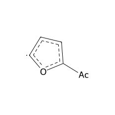 CC(=O)c1cc[c]o1